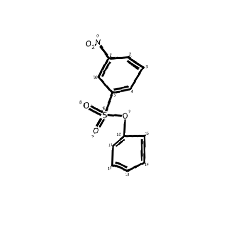 O=[N+]([O-])c1[c]ccc(S(=O)(=O)Oc2ccccc2)c1